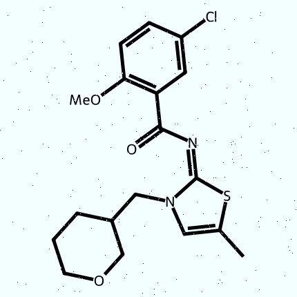 COc1ccc(Cl)cc1C(=O)N=c1sc(C)cn1CC1CCCOC1